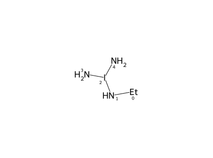 CCNI(N)N